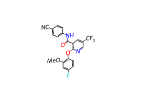 COc1cc(F)ccc1Oc1ncc(C(F)(F)F)cc1C(=O)Nc1ccc(C#N)cc1